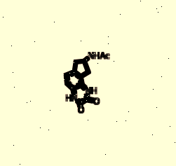 CC(=O)NC1Cc2ccc3[nH]c(=O)c(=O)[nH]c3c2C1